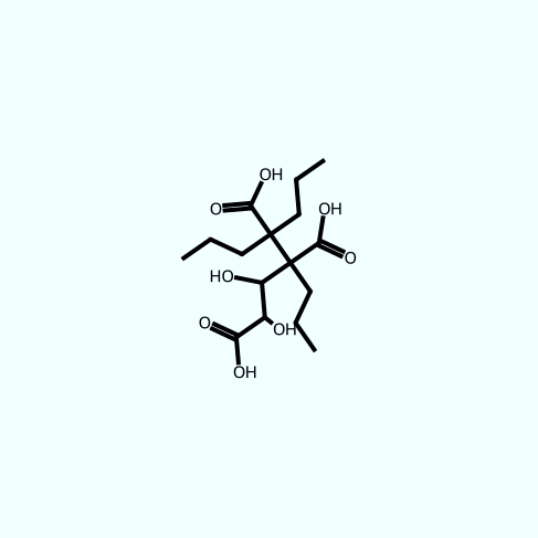 CCCC(CCC)(C(=O)O)C(CCC)(C(=O)O)C(O)C(O)C(=O)O